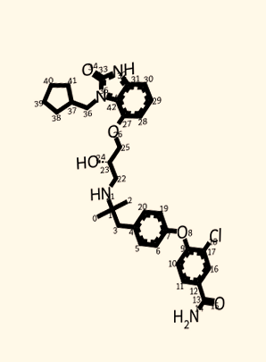 CC(C)(Cc1ccc(Oc2ccc(C(N)=O)cc2Cl)cc1)NC[C@H](O)COc1cccc2[nH]c(=O)n(CC3CCCC3)c12